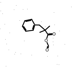 CC(C)(Cc1ccccc1)C(=O)OC=O